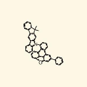 CC1(C)c2ccccc2-c2cc3c4ccccc4n(-c4cccc5c6cc(-c7ccccc7)cc7oc8cccc(c45)c8c76)c3cc21